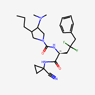 CCCC1CN(C(=O)N[C@@H](CC(F)(F)Cc2ccccc2)C(=O)NC2(C#N)CC2)CC1N(C)C